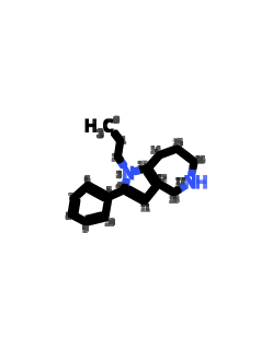 CCCn1c(-c2ccccc2)cc2c1CCCNC2